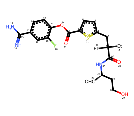 CCC(CC)(Cc1ccc(C(=O)Oc2ccc(C(=N)N)cc2F)s1)C(=O)N[C@H](C=O)CCO